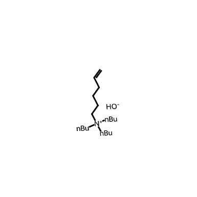 C=CCCCC[N+](CCCC)(CCCC)CCCC.[OH-]